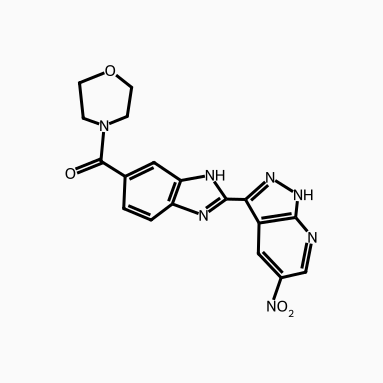 O=C(c1ccc2nc(-c3n[nH]c4ncc([N+](=O)[O-])cc34)[nH]c2c1)N1CCOCC1